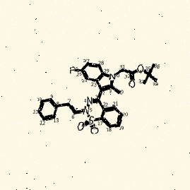 Cc1c(C2=NN(CCc3ccccc3)S(=O)(=O)c3ccccc32)c2cc(F)ccc2n1CC(=O)OC(C)(C)C